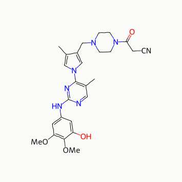 COc1cc(Nc2ncc(C)c(-n3cc(C)c(CN4CCN(C(=O)CC#N)CC4)c3)n2)cc(O)c1OC